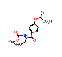 CCC(Oc1ccc(C(=O)C(COC)NC(=O)OC(C)(C)C)cc1)C(=O)O